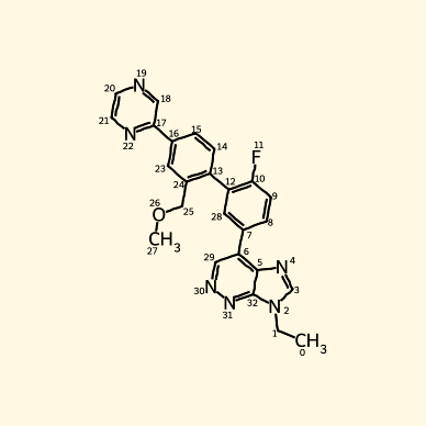 CCn1cnc2c(-c3ccc(F)c(-c4ccc(-c5cnccn5)cc4COC)c3)cnnc21